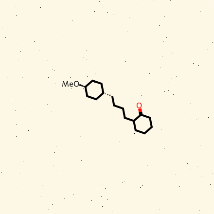 CO[C@H]1CC[C@H](CCCCC2CCCCC2=O)CC1